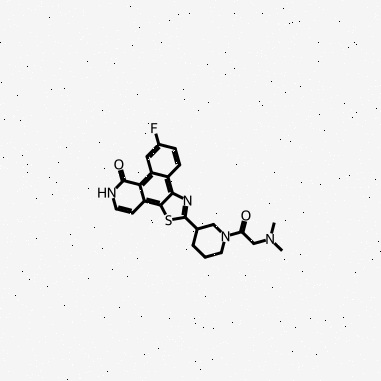 CN(C)CC(=O)N1CCCC(c2nc3c4ccc(F)cc4c4c(=O)[nH]ccc4c3s2)C1